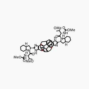 COC(=O)N[C@H](C(=O)N1[C@H](c2nc3cc(-c4cc5ccc4CCc4ccc(c(-c6ccc7[nH]c([C@@H]8C[C@@H]9CCCC[C@@H]9N8C(=O)[C@@H](NC(=O)OC)[C@@H](C)OC)nc7c6)c4)CC5)ccc3[nH]2)C[C@@H]2CCCC[C@@H]21)[C@@H](C)OC